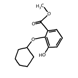 COC(=O)c1cccc(O)c1OC1CCCCC1